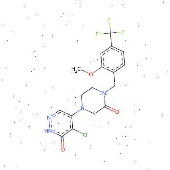 COc1cc(C(F)(F)F)ccc1CN1CCN(c2cn[nH]c(=O)c2Cl)CC1=O